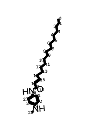 CCCCCCCCCCCCCCC/C=C/C(=O)Nc1ccc(NC)cc1